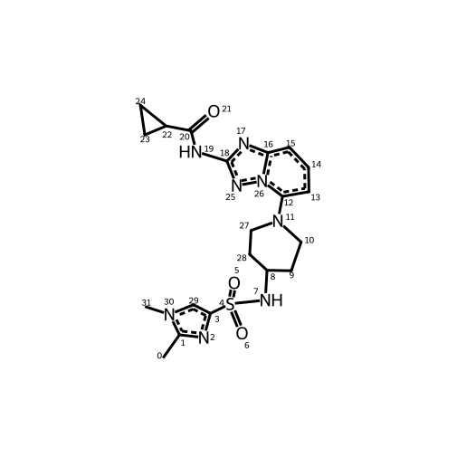 Cc1nc(S(=O)(=O)NC2CCN(c3cccc4nc(NC(=O)C5CC5)nn34)CC2)cn1C